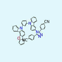 N#Cc1ccc(-c2nnc(-c3ccc(C#N)cc3)n2-c2ccc3c(c2)c2ccccc2n3-c2cccc(-n3c4ccccc4c4c5oc6ccccc6c5ccc43)c2)cc1